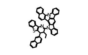 CCC1C(n2c3ccccc3c3cc4c5ccccc5n5c6c7ccccc7ccc6c(c32)c45)=Nc2c(sc3ccccc23)C1c1ccc2ccccc2c1